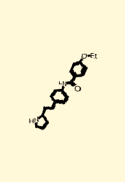 CCOc1ccc(C(=O)Nc2ccc(CCC3CCCN3)cc2)cc1